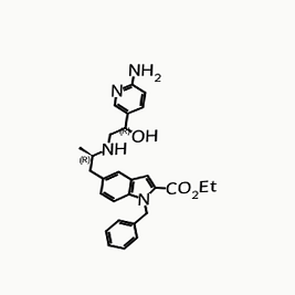 CCOC(=O)c1cc2cc(C[C@@H](C)NC[C@H](O)c3ccc(N)nc3)ccc2n1Cc1ccccc1